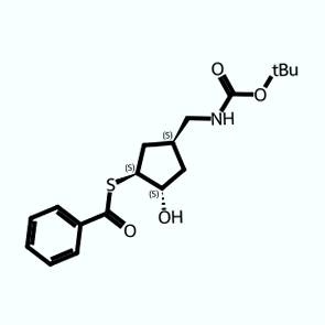 CC(C)(C)OC(=O)NC[C@@H]1C[C@H](SC(=O)c2ccccc2)[C@@H](O)C1